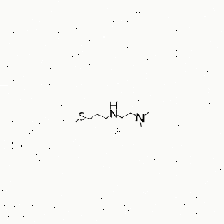 CSCCCNCCN(C)C